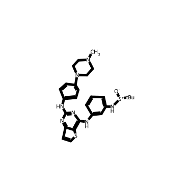 CN1CCN(c2ccc(Nc3nc(Nc4cccc(N[S+]([O-])C(C)(C)C)c4)c4sccc4n3)cc2)CC1